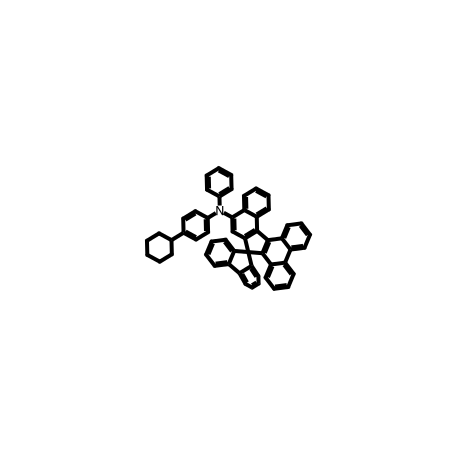 c1ccc(N(c2ccc(C3CCCCC3)cc2)c2cc3c(c4ccccc24)-c2c(c4ccccc4c4ccccc24)C32c3ccccc3-c3ccccc32)cc1